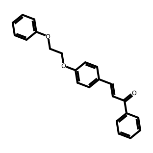 O=C(/C=C/c1ccc(OCCOc2ccccc2)cc1)c1ccccc1